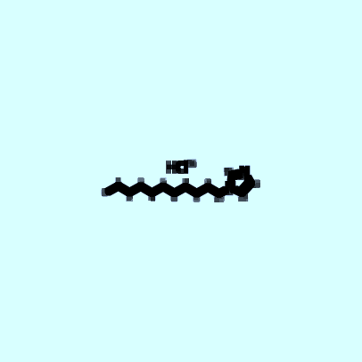 CCCCCCCCCCCn1ccnc1.Cl